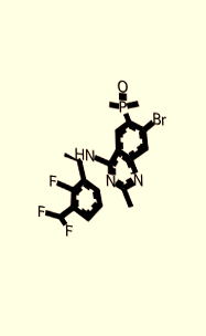 Cc1nc(N[C@H](C)c2cccc(C(F)F)c2F)c2cc(P(C)(C)=O)c(Br)cc2n1